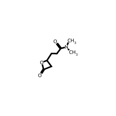 CN(C)C(=O)CCC1CC(=O)O1